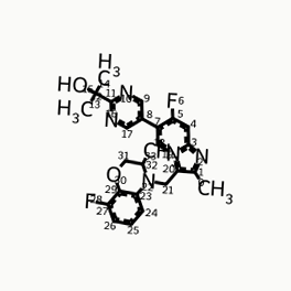 Cc1nc2cc(F)c(-c3cnc(C(C)(C)O)nc3)cn2c1CN1c2cccc(F)c2OCC1C